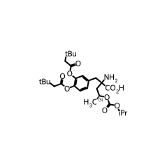 CC(C)OC(=O)O[C@@H](C)CC(N)(Cc1ccc(OC(=O)CC(C)(C)C)c(OC(=O)CC(C)(C)C)c1)C(=O)O